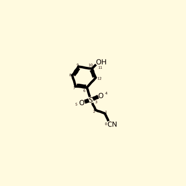 N#CCCS(=O)(=O)c1cccc(O)c1